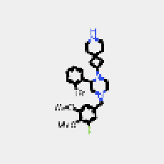 COc1cc(CN2CCN(C3CC4(CCNCC4)C3)C(c3ccccc3C(C)C)C2)cc(F)c1OC